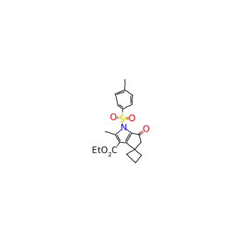 CCOC(=O)c1c2c(n(S(=O)(=O)c3ccc(C)cc3)c1C)C(=O)CC21CCC1